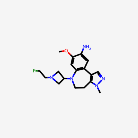 COc1cc2c(cc1N)-c1cnn(C)c1CCN2C1CN(CCF)C1